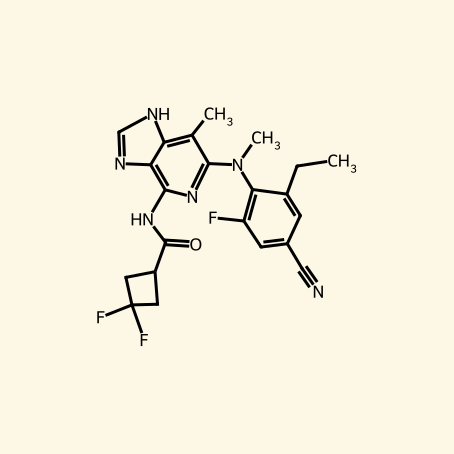 CCc1cc(C#N)cc(F)c1N(C)c1nc(NC(=O)C2CC(F)(F)C2)c2nc[nH]c2c1C